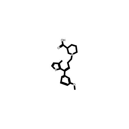 COc1cccc(C(=CCCN2CCCC(C(=O)O)C2)c2sccc2C)c1